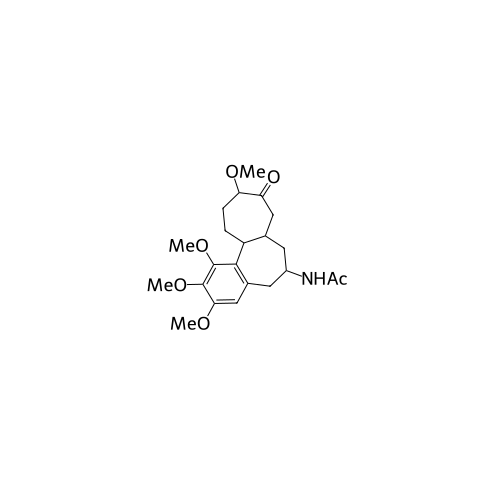 COc1cc2c(c(OC)c1OC)C1CCC(OC)C(=O)CC1CC(NC(C)=O)C2